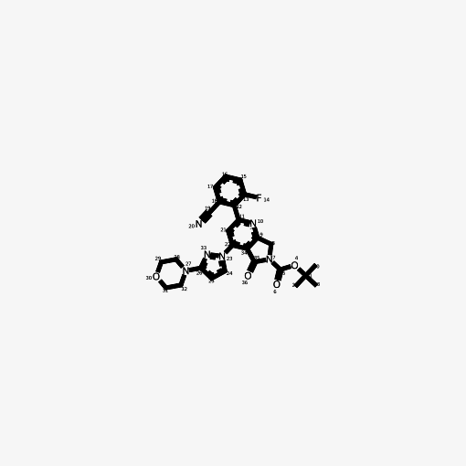 CC(C)(C)OC(=O)N1Cc2nc(-c3c(F)cccc3C#N)cc(-n3ccc(N4CCOCC4)n3)c2C1=O